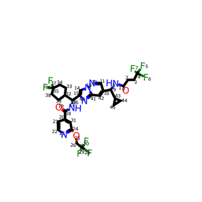 O=C(CCC(F)(F)F)NC(c1cnn2cc([C@@H](NC(=O)c3ccnc(OCC(F)(F)F)c3)C3CCC(F)(F)CC3)nc2c1)C1CC1